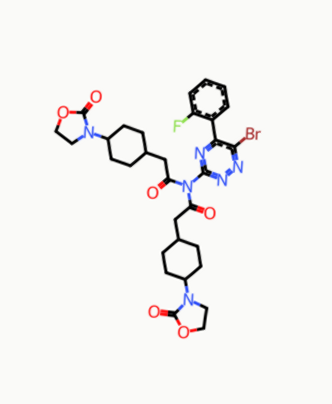 O=C(CC1CCC(N2CCOC2=O)CC1)N(C(=O)CC1CCC(N2CCOC2=O)CC1)c1nnc(Br)c(-c2ccccc2F)n1